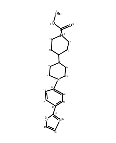 CC(C)(C)OC(=O)N1CCC(C2CCN(c3ccc(-c4ncco4)cc3)CC2)CC1